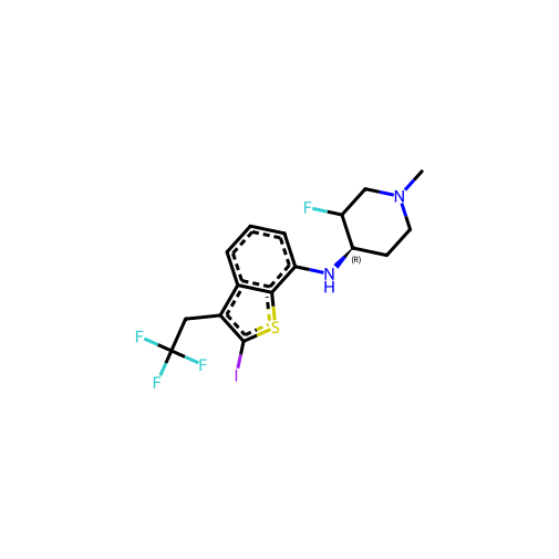 CN1CC[C@@H](Nc2cccc3c(CC(F)(F)F)c(I)sc23)C(F)C1